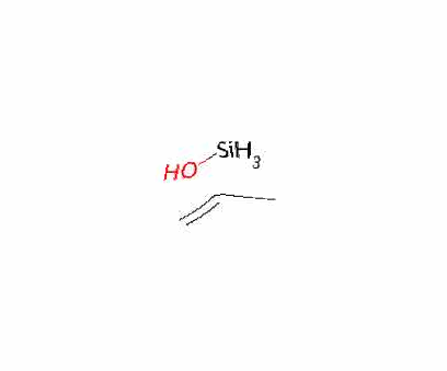 C=CC.O[SiH3]